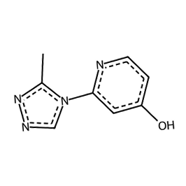 Cc1nncn1-c1cc(O)ccn1